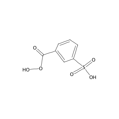 O=C(OO)c1cccc(S(=O)(=O)O)c1